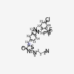 CN(CCC#N)C1=NC(=O)/C(=C/c2ccc3c(cnn3Cc3ccc(Cl)cc3C(F)(F)F)c2)S1